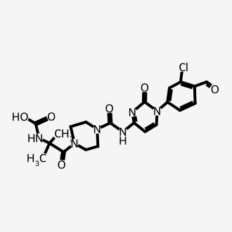 CC(C)(NC(=O)O)C(=O)N1CCN(C(=O)Nc2ccn(-c3ccc(C=O)c(Cl)c3)c(=O)n2)CC1